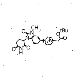 Cn1c(=O)n(C2CCC(=O)NC2=O)c2ccc(N3CC4CCC3CN4CC(=O)OC(C)(C)C)cc21